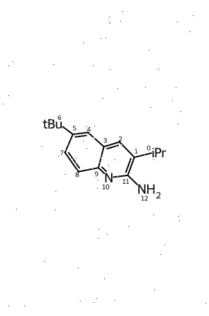 CC(C)c1cc2cc(C(C)(C)C)ccc2nc1N